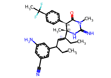 CC/C(=C\C(CC)c1cc(N)cc(C#N)c1)[C@@]1(C)NC(=N)N(C)C(=O)[C@@H]1c1ccc(C(C)(F)F)cc1